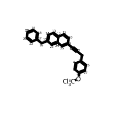 ClC(Cl)(Cl)Oc1ccc(CC#Cc2ccc3ccc(Cc4ccccc4)cc3c2)cc1